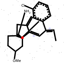 C=C1CC23CCC(OC)CC2(CN(C)C(N)=N3)/C1=C/C(=C\C)c1cccc(Cl)c1